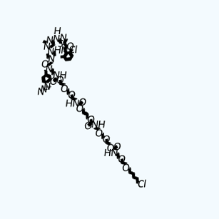 Cc1nc(Nc2ncc(C(=O)Nc3c(C)cccc3Cl)s2)cc(N2CCN(CC(=O)N(CCNC(=O)OCCOCCOCCNC(=O)OC/C=C/COC(=O)NCCOCCOCCOC(=O)NCCOCCOCCCCCCCl)Cc3ccc(N=[N+]=[N-])cc3)CC2)n1